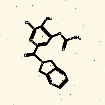 CC(C)(C)c1c(OC(N)=O)cc(C(=O)N2Cc3ccccc3C2)nc1Cl